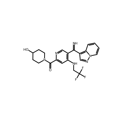 N=C(c1cnc(C(=O)N2CCC(O)CC2)cc1NCC(F)(F)F)c1cnn2ccccc12